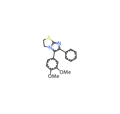 COc1ccc(-c2c(-c3ccccc3)nc3n2CCS3)cc1OC